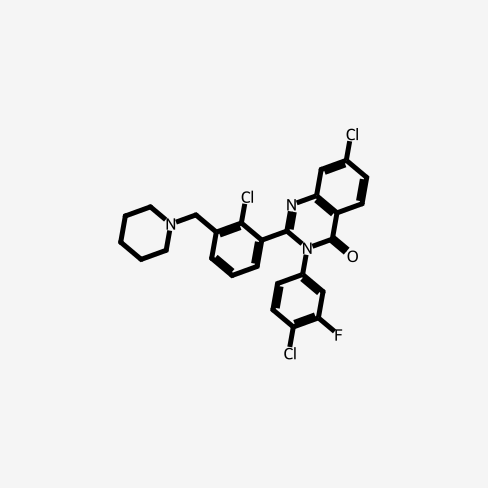 O=c1c2ccc(Cl)cc2nc(-c2cccc(CN3CCCCC3)c2Cl)n1-c1ccc(Cl)c(F)c1